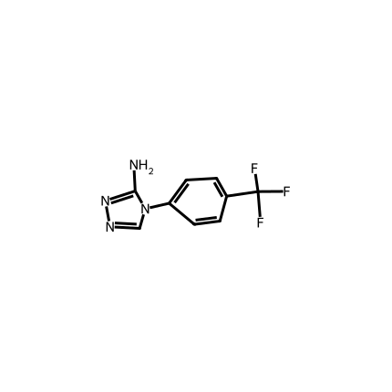 Nc1nncn1-c1ccc(C(F)(F)F)cc1